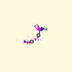 CN(C)NC(=O)c1ccc(NC(=O)Nc2ccc(-c3nc(N4C5CNCC4COC5)c4cnn(CC(F)(F)F)c4n3)cc2)cc1